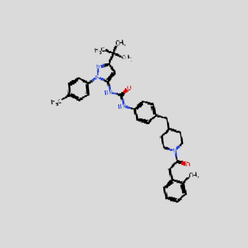 Cc1ccc(-n2nc(C(C)(C)C)cc2NC(=O)Nc2ccc(CC3CCN(C(=O)Cc4ccccc4C)CC3)cc2)cc1